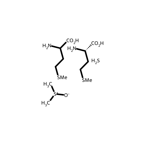 CSCCC(N)C(=O)O.CSCC[C@H](N)C(=O)O.C[S+](C)[O-].S